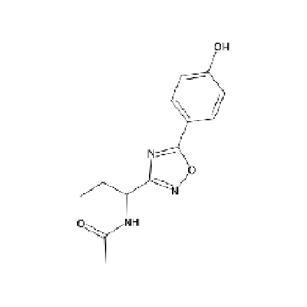 CCC(NC(C)=O)c1noc(-c2ccc(O)cc2)n1